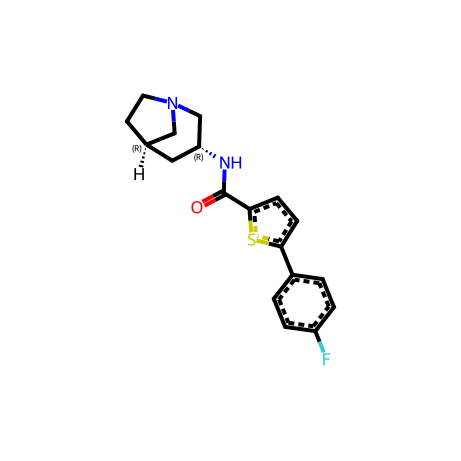 O=C(N[C@@H]1C[C@H]2CCN(C2)C1)c1ccc(-c2ccc(F)cc2)s1